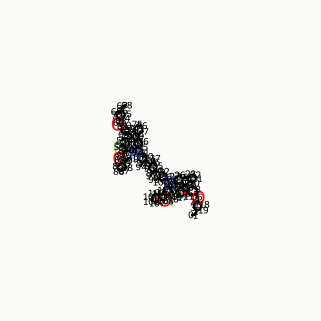 C=Cc1ccc(Oc2ccc(C3(c4ccc(F)cc4)c4ccccc4-c4ccc(N(c5ccc(-c6cc(C)c(-c7ccc(N(c8ccc9c(c8)C(c8ccc(F)cc8)(c8ccc(Oc%10ccc(C=C)cc%10)cc8)c8ccccc8-9)c8ccc9oc%10ccccc%10c9c8)cc7C)cc6C)c(C)c5)c5ccc6oc7ccccc7c6c5)cc43)cc2)cc1